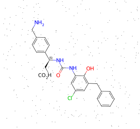 NCc1ccc([C@H](CC(=O)O)NC(=O)Nc2cc(Cl)cc(Cc3ccccc3)c2O)cc1